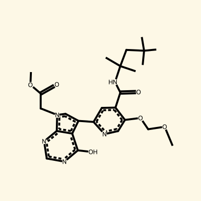 COCOc1cnc(-c2cn(CC(=O)OC)c3ncnc(O)c23)cc1C(=O)NC(C)(C)CC(C)(C)C